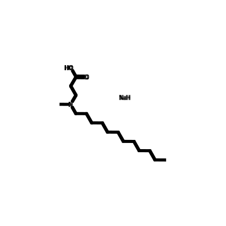 CCCCCCCCCCCCN(C)CCC(=O)O.[NaH]